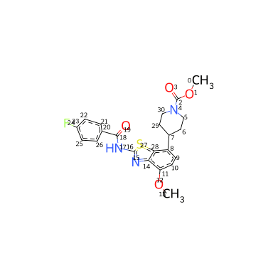 COC(=O)N1CCC(c2ccc(OC)c3nc(NC(=O)c4ccc(F)cc4)sc23)CC1